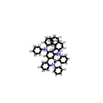 c1ccc(N2B3c4ccccc4-n4c5ccc6ccccc6c5c5c(N(c6ccccc6)c6ccccc6)cc(c3c54)-c3ccccc32)cc1